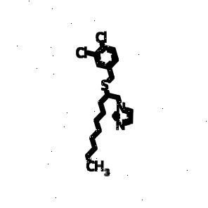 CCCCCCCCC(Cn1ccnc1)SCc1ccc(Cl)c(Cl)c1